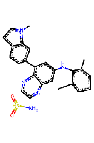 Cc1cccc(C)c1Nc1cc(-c2ccc3ccn(C)c3c2)c2nccnc2c1.N[SH](=O)=O